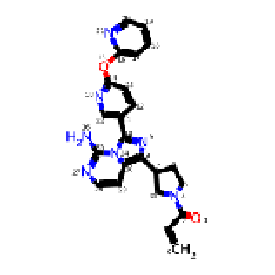 C=CC(=O)N1CCC(c2nc(-c3ccc(Oc4ccccn4)nc3)n3c(N)nccc23)C1